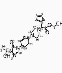 CCOC(=O)C(c1cccs1)N1CCN(c2ccc(-n3cnn(C(C)C)c3=O)cc2)CC1